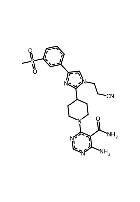 CS(=O)(=O)c1cccc(-c2cn(CCC#N)c(C3CCN(c4ncnc(N)c4C(N)=O)CC3)n2)c1